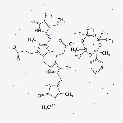 C=CC1=C(C)/C(=C/c2[nH]c(Cc3[nH]c(/C=C4\NC(=O)C(C)=C4C=C)c(C)c3CCC(=O)O)c(CCC(=O)O)c2C)NC1=O.C[Si]1(C)O[Si](C)(C)O[Si](C)(c2ccccc2)O[Si](C)(C)O1